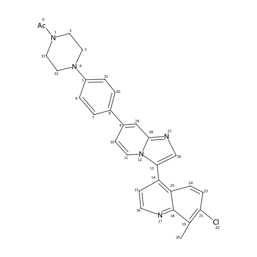 CC(=O)N1CCN(c2ccc(-c3ccn4c(-c5ccnc6c(C)c(Cl)ccc56)cnc4c3)cc2)CC1